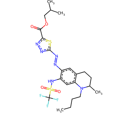 CCCCN1c2cc(NS(=O)(=O)C(F)(F)F)c(N=Nc3nnc(C(=O)OCC(C)C)s3)cc2CCC1C